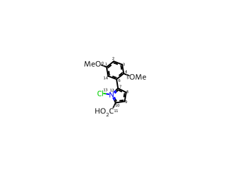 COc1ccc(OC)c(-c2ccc(C(=O)O)n2Cl)c1